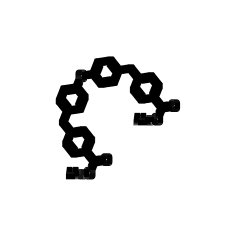 COC(=O)c1ccc(Cc2ccc(Oc3ccc(Cc4ccc(C(=O)OC)cc4)cc3)cc2)cc1